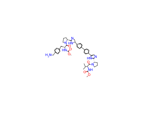 COC(=O)N[C@@H](Cc1ccc(CN)cc1)C(=O)N1CCC[C@H]1C1=NCC(c2ccc(-c3ccc(-c4cnc([C@@H]5CCCN5C(=O)[C@@H](NC(=O)OC)C(C)C)[nH]4)cc3)cc2)N1